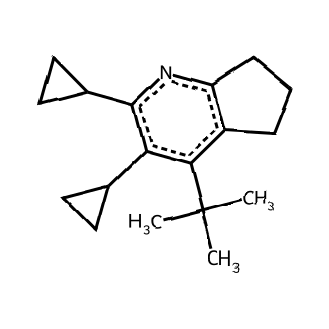 CC(C)(C)c1c2c(nc(C3CC3)c1C1CC1)CCC2